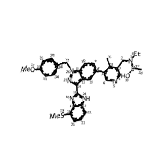 CCN(Cc1cncc(-c2ccc3c(c2)c(-c2nc4c(SC)cccc4[nH]2)nn3Cc2ccc(OC)cc2)c1C)B(C)O